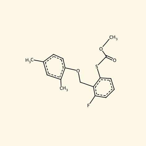 COC(=O)Sc1cccc(F)c1COc1ccc(C)cc1C